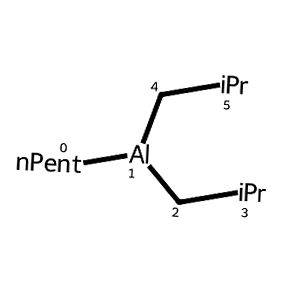 CCCC[CH2][Al]([CH2]C(C)C)[CH2]C(C)C